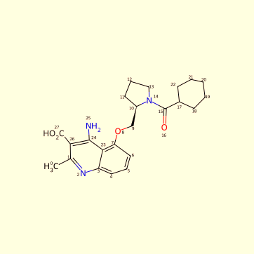 Cc1nc2cccc(OC[C@H]3CCCN3C(=O)C3CCCCC3)c2c(N)c1C(=O)O